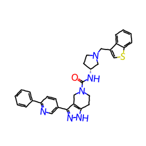 O=C(N[C@@H]1CCN(Cc2csc3ccccc23)C1)N1CCc2[nH]nc(-c3ccc(-c4ccccc4)nc3)c2C1